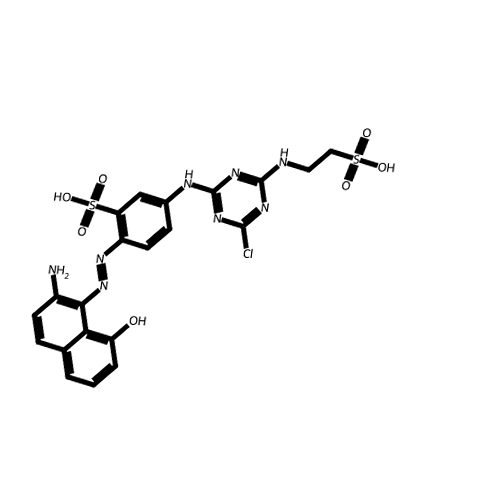 Nc1ccc2cccc(O)c2c1/N=N/c1ccc(Nc2nc(Cl)nc(NCCS(=O)(=O)O)n2)cc1S(=O)(=O)O